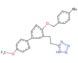 CC(C)(C)c1ccc(COc2ccc(-c3ccc(OC(F)(F)F)cc3)cc2CCc2nnn[nH]2)cc1